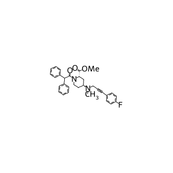 COC(=O)[C@@H]1C[C@@H](N(C)CC#Cc2ccc(F)cc2)CCN1C(=O)C(c1ccccc1)c1ccccc1